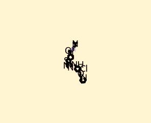 CN(C)C/C=C/C(=O)N1CCc2c(sc3ncnc(Nc4ccc(OCc5ccccn5)c(Cl)c4)c23)C1